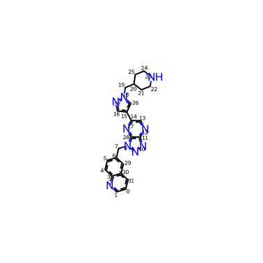 c1cnc2ccc(Cn3nnc4ncc(-c5cnn(CC6CCNCC6)c5)nc43)cc2c1